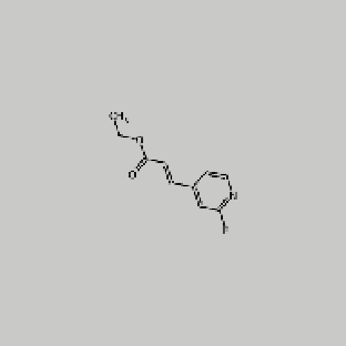 CCOC(=O)/C=C/c1ccnc(F)c1